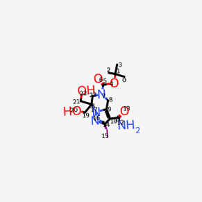 CC(C)(C)OC(=O)N1Cc2c(C(N)=O)c(I)nn2C(CO)(CO)C1